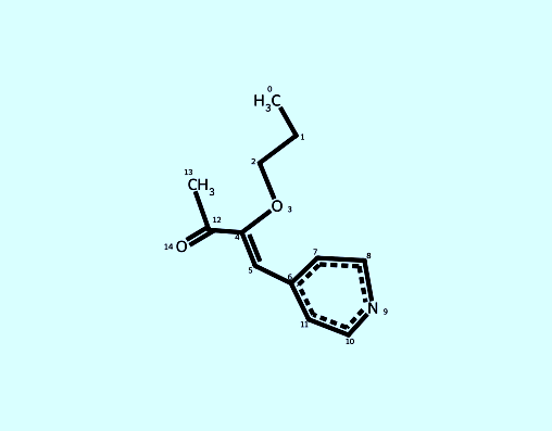 CCCOC(=Cc1ccncc1)C(C)=O